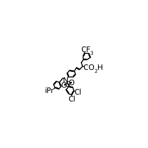 CC(C)c1ccc(CN(c2ccc(C=CC(Cc3cccc(C(F)(F)F)c3)C(=O)O)cc2)S(=O)(=O)c2ccc(Cl)c(Cl)c2)cc1